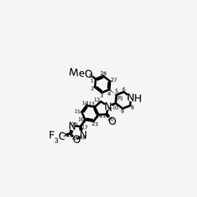 COc1ccc([C@@H]2CNCCC2N2Cc3ccc(-c4noc(C(F)(F)F)n4)cc3C2=O)cc1